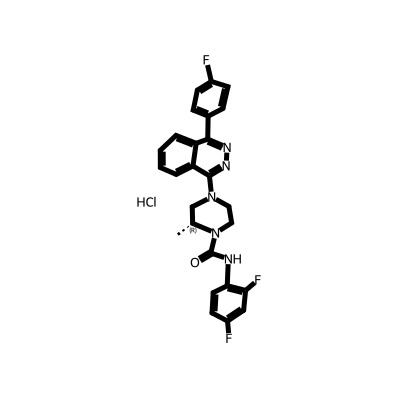 C[C@@H]1CN(c2nnc(-c3ccc(F)cc3)c3ccccc23)CCN1C(=O)Nc1ccc(F)cc1F.Cl